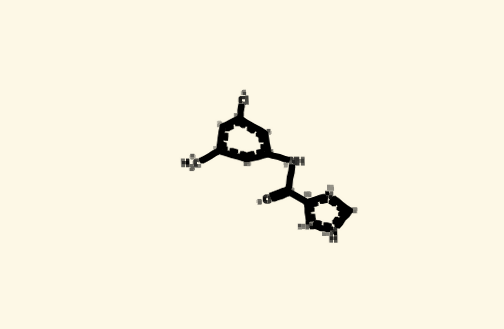 Cc1cc(Cl)cc(NC(=O)c2nc[nH]n2)c1